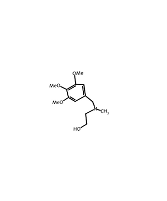 COc1cc(CN(C)CCO)cc(OC)c1OC